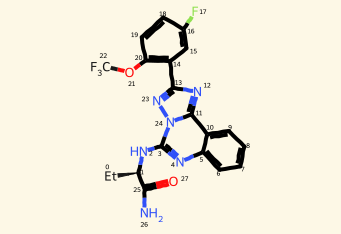 CC[C@@H](Nc1nc2ccccc2c2nc(-c3cc(F)ccc3OC(F)(F)F)nn12)C(N)=O